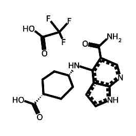 NC(=O)c1cnc2[nH]ccc2c1N[C@H]1CC[C@@H](C(=O)O)CC1.O=C(O)C(F)(F)F